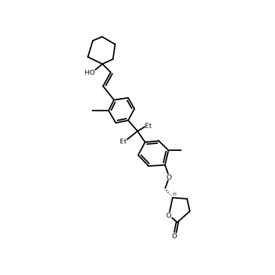 CCC(CC)(c1ccc(C=CC2(O)CCCCC2)c(C)c1)c1ccc(OC[C@@H]2CCC(=O)O2)c(C)c1